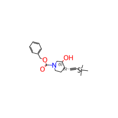 C[Si](C)(C)C#C[C@@H]1CCN(C(=O)OCc2ccccc2)C[C@H]1O